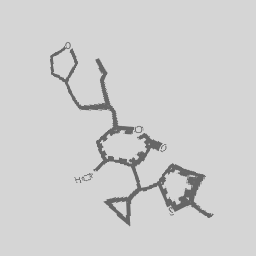 CCC(CC1CCOC1)c1cc(O)c(C(c2ccc(C)s2)C2CC2)c(=O)o1